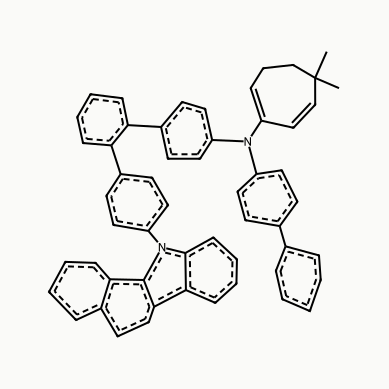 CC1(C)C=CC(N(c2ccc(-c3ccccc3)cc2)c2ccc(-c3ccccc3-c3ccc(-n4c5ccccc5c5ccc6ccccc6c54)cc3)cc2)=CCC1